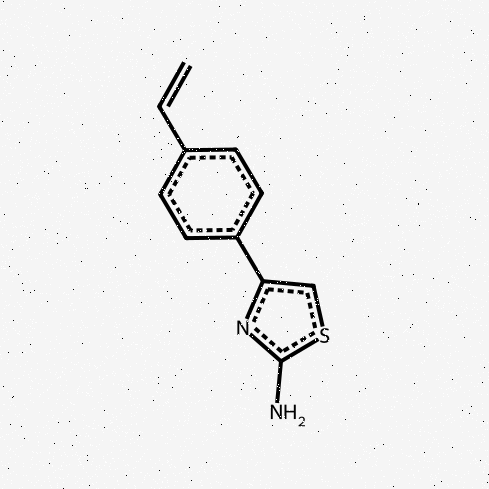 C=Cc1ccc(-c2csc(N)n2)cc1